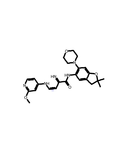 COc1cc(N/C=C\C(=N)C(=O)Nc2cc3c(cc2N2CCOCC2)OC(C)(C)C3)ccn1